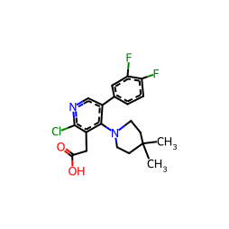 CC1(C)CCN(c2c(-c3ccc(F)c(F)c3)cnc(Cl)c2CC(=O)O)CC1